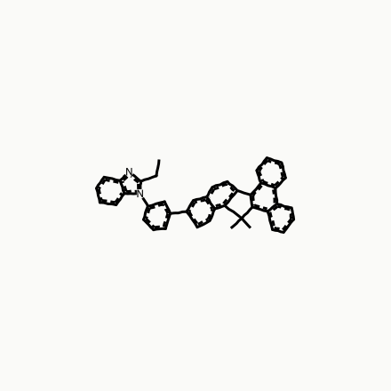 CCc1nc2ccccc2n1-c1cccc(-c2ccc3c4c(ccc3c2)-c2c(c3ccccc3c3ccccc23)C4(C)C)c1